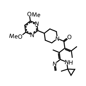 C=N/C(NC1(C)CC1)=C(\C)C(C(=O)N1CCC(c2nc(OC)cc(OC)n2)CC1)=C(C)C